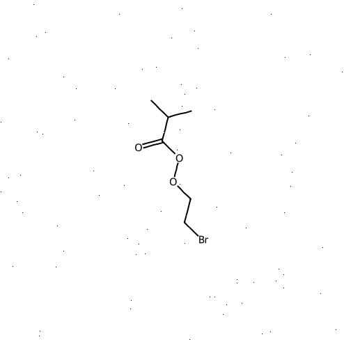 CC(C)C(=O)OOCCBr